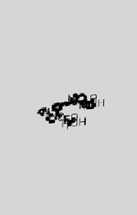 O=C(O)C(F)(F)F.O=C1NCCn2nc3c(c21)CCc1cnc(C=Cc2cccc(C(=O)N4CCC[C@@H]4CN4CCCC4)c2)cc1-3